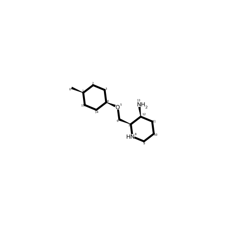 C[C@H]1CC[C@@H](OC[C@@H]2NCCC[C@@H]2N)CC1